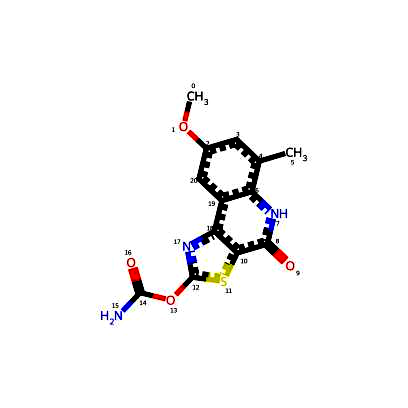 COc1cc(C)c2[nH]c(=O)c3sc(OC(N)=O)nc3c2c1